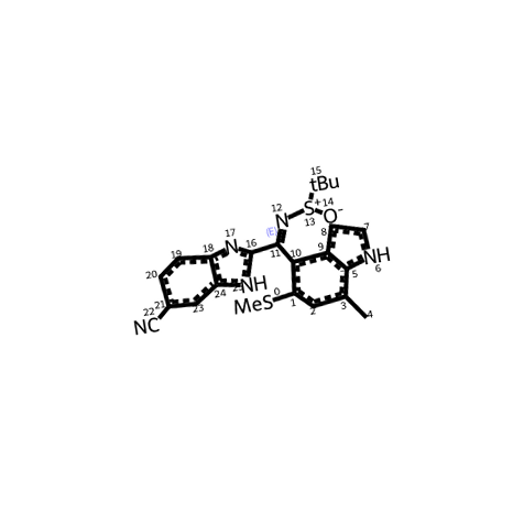 CSc1cc(C)c2[nH]ccc2c1/C(=N\[S+]([O-])C(C)(C)C)c1nc2ccc(C#N)cc2[nH]1